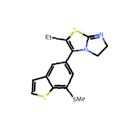 CCC1=C(c2cc(SC)c3sccc3c2)N2CCN=C2S1